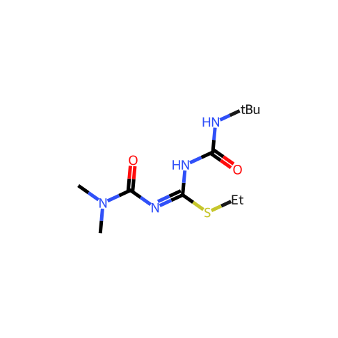 CCSC(=NC(=O)N(C)C)NC(=O)NC(C)(C)C